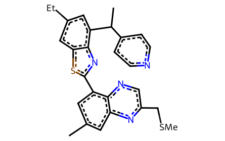 CCc1cc(C(C)c2ccncc2)c2nc(-c3cc(C)cc4nc(CSC)cnc34)sc2c1